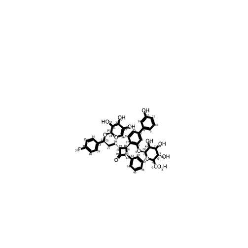 O=C(O)C1O[C@@H](Oc2cc(-c3cccc(O)c3)ccc2[C@@H]2[C@@H](CC[C@H](O[C@@H]3OC=C(O)C(O)C3O)c3ccc(F)cc3)C(=O)N2c2ccccc2)C(O)C(O)[C@@H]1O